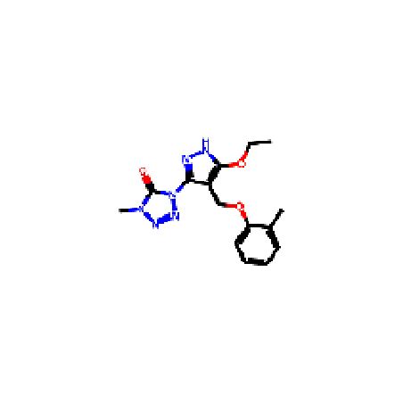 CCOc1[nH]nc(-n2nnn(C)c2=O)c1COc1ccccc1C